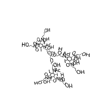 CCC(COCC(O)CN(C(C)=O)c1c(I)c(C(=O)NCC(O)CO)c(I)c(C(=O)NCC(O)CO)c1I)(COCC(O)CN(C(C)=O)c1c(I)c(C(=O)N(O)CCCO)c(I)c(C(=O)N(O)CCCO)c1I)COCC(O)CN(C(C)=O)c1c(I)c(C(=O)N(O)CCCO)c(I)c(C(=O)N(O)CCCO)c1I